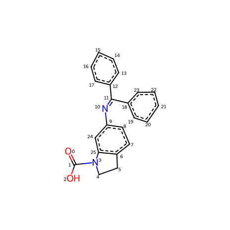 O=C(O)N1CCc2ccc(N=C(c3ccccc3)c3ccccc3)cc21